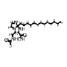 CCCCCCCCCCCCCC1(NCC(=O)O)N=CCN1CCNC(C)=O